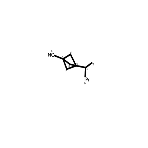 CC(C)C(C)C12CC(C#N)(C1)C2